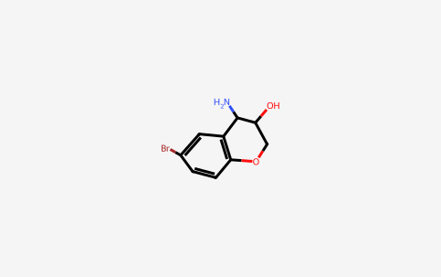 NC1c2cc(Br)ccc2OCC1O